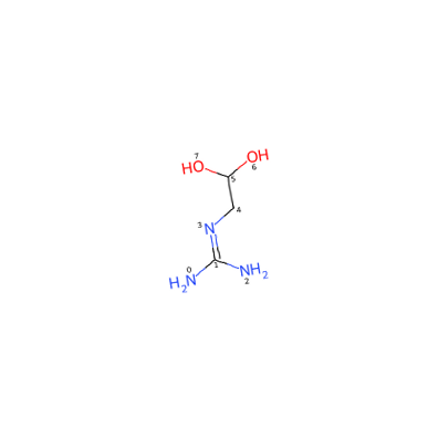 NC(N)=NCC(O)O